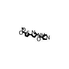 COC(=O)c1ccc(-c2ccc(NC(=O)c3ccncc3)cn2)s1